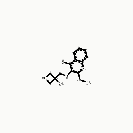 COc1nc2cc[c]cc2c(Cl)c1OCC1(C)COC1